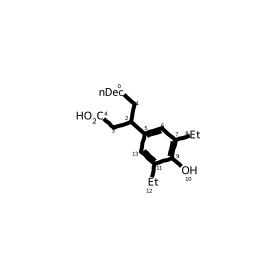 CCCCCCCCCCCC(CC(=O)O)c1cc(CC)c(O)c(CC)c1